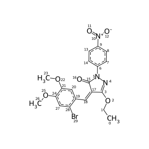 CCOC1=NN(c2ccc([N+](=O)[O-])cc2)C(=O)C1=Cc1cc(OC)c(OC)cc1Br